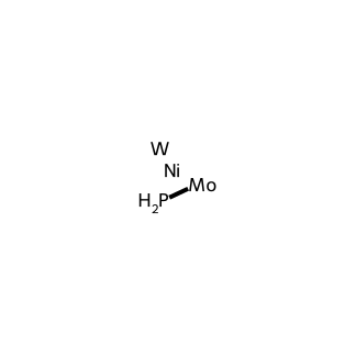 [Ni].[PH2][Mo].[W]